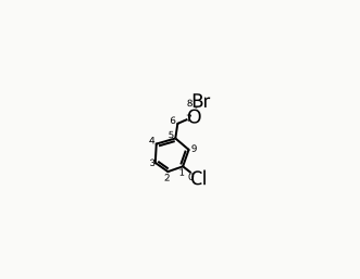 Clc1cccc(COBr)c1